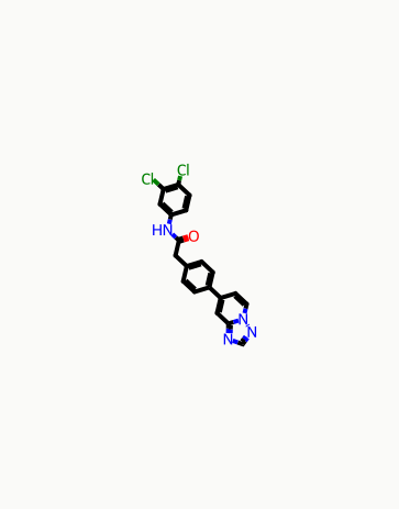 O=C(Cc1ccc(-c2ccn3ncnc3c2)cc1)Nc1ccc(Cl)c(Cl)c1